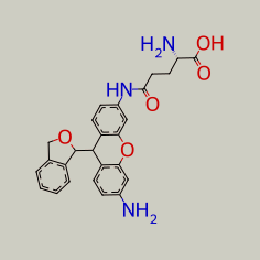 Nc1ccc2c(c1)Oc1cc(NC(=O)CC[C@H](N)C(=O)O)ccc1C2C1OCc2ccccc21